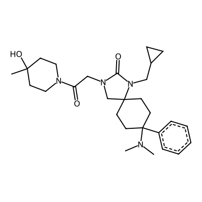 CN(C)C1(c2ccccc2)CCC2(CC1)CN(CC(=O)N1CCC(C)(O)CC1)C(=O)N2CC1CC1